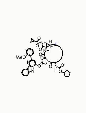 COc1ccccc1-c1cc(O[C@@H]2C[C@H]3C(=O)N[C@]4(C(=O)NS(=O)(=O)C5CC5)C[C@H]4/C=C\CCCCC[C@H](NC(=O)OC4CCCC4)C(=O)N3C2)n2nc3ccccc3c2n1